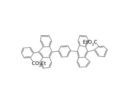 CCOC(=O)c1ccccc1-c1c2ccccc2c(-c2ccc(-c3c4ccccc4c(-c4ccccc4C(=O)OCC)c4ccccc34)cc2)c2ccccc12